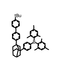 Cc1cc(C)c(B(c2ccc(C34CC5CC(C3)CC(c3ccc(-c6ccc(C(C)(C)C)cc6)cc3)(C5)C4)cc2)c2c(C)cc(C)cc2C)c(C)c1